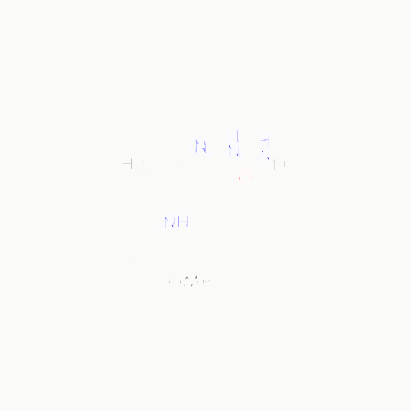 CCNC(=O)Nc1cc2cc(NCc3cccc(OC)c3)cc(C)c2cn1